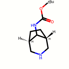 CC(C)(C)OC(=O)NC1[C@@H]2CC[C@@H]1CNC2